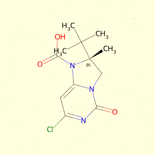 CC(C)(C)[C@]1(C)Cn2c(cc(Cl)nc2=O)N1C(=O)O